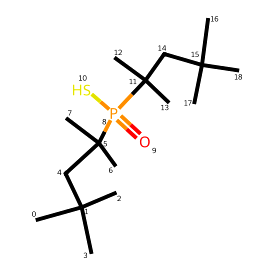 CC(C)(C)CC(C)(C)P(=O)(S)C(C)(C)CC(C)(C)C